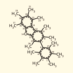 Cc1c(C)c(C)c(-c2c(C)c(C)c3c(oc4c(C)c(C)c(C)c(C)c43)c2C)c(C)c1C